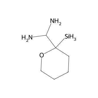 NC(N)C1([SiH3])CCCCO1